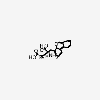 N[C@@](CC1=CC=CC2=c3ccccc3=COC12)(C(=O)O)[C@@H]1C[C@H]1C(=O)O